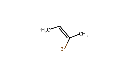 [CH2]/C=C(/C)Br